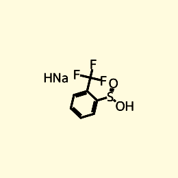 O=S(O)c1ccccc1C(F)(F)F.[NaH]